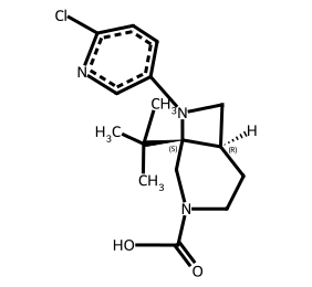 CC(C)(C)[C@]12CN(C(=O)O)CC[C@@H]1CN2c1ccc(Cl)nc1